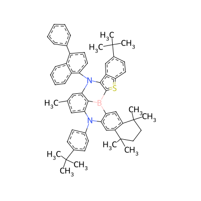 Cc1cc2c3c(c1)N(c1ccc(-c4ccccc4)c4ccccc14)c1c(sc4ccc(C(C)(C)C)cc14)B3c1cc3c(cc1N2c1ccc(C(C)(C)C)cc1)C(C)(C)CCC3(C)C